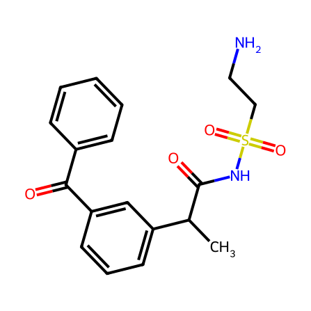 CC(C(=O)NS(=O)(=O)CCN)c1cccc(C(=O)c2ccccc2)c1